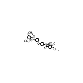 C=Cc1ccc(C(=O)Nc2ccc(Oc3cccc(NC(=O)c4cc(C=C)ccc4C(=O)O)c3)cc2)c(C(=O)O)c1